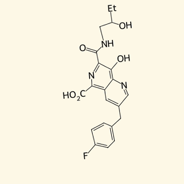 CCC(O)CNC(=O)c1nc(C(=O)O)c2cc(Cc3ccc(F)cc3)cnc2c1O